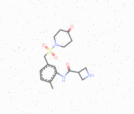 Cc1ccc(CS(=O)(=O)N2CCC(=O)CC2)cc1NC(=O)C1CNC1